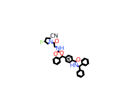 N#C[C@@H]1C[C@H](F)CN1C(=O)CNC(=O)OC(c1ccccc1)C12CCC(C(=O)NC(c3ccccc3)c3ccccc3)(CC1)CC2